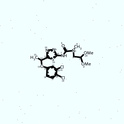 COC(CN(C)C(=O)Nc1nnc(C(C)Oc2ccc(Cl)c(Cl)c2)s1)OC